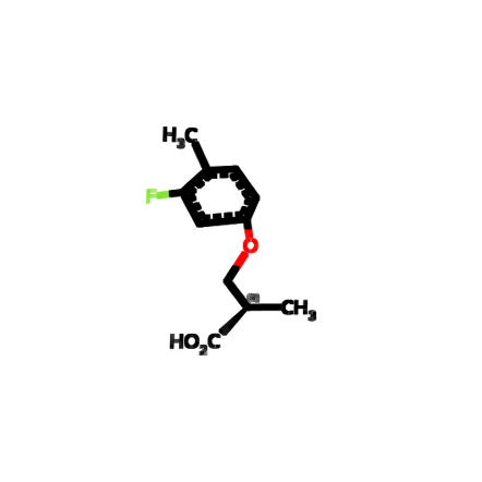 Cc1ccc(OC[C@@H](C)C(=O)O)cc1F